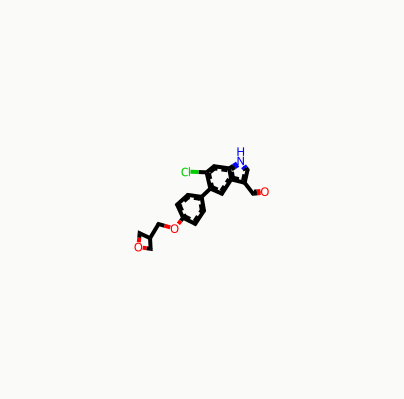 O=Cc1c[nH]c2cc(Cl)c(-c3ccc(OCC4COC4)cc3)cc12